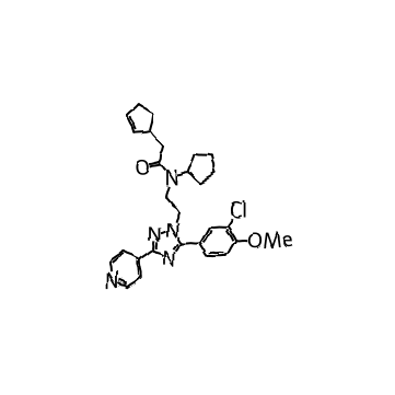 COc1ccc(-c2nc(-c3ccncc3)nn2CCN(C(=O)CC2C=CCC2)C2CCCC2)cc1Cl